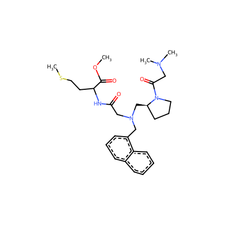 COC(=O)C(CCSC)NC(=O)CN(Cc1cccc2ccccc12)C[C@@H]1CCCN1C(=O)CN(C)C